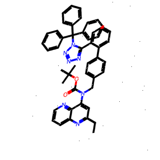 CCc1cc(N(Cc2ccc(-c3ccccc3-c3nnnn3C(c3ccccc3)(c3ccccc3)c3ccccc3)cc2)C(=O)OC(C)(C)C)c2ncccc2n1